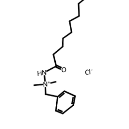 CCCCCCCCCCCCCCCCCC(=O)N[N+](C)(C)Cc1ccccc1.[Cl-]